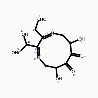 O=CCC1=N/CC(O)C(=O)C(=O)C(O)C/N=C\1C(O)C=O